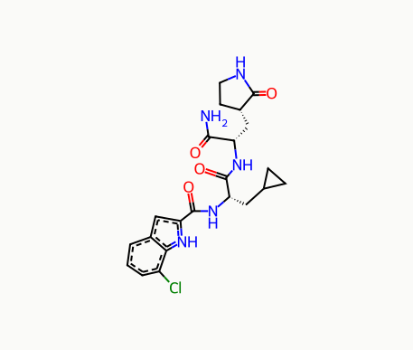 NC(=O)[C@H](C[C@@H]1CCNC1=O)NC(=O)[C@H](CC1CC1)NC(=O)c1cc2cccc(Cl)c2[nH]1